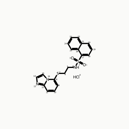 Cl.O=S(=O)(NCCSc1cccc2nccn12)c1cccc2ccccc12